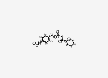 O=C(CC(=O)C1CCCCO1)OCc1ccc([N+](=O)[O-])cc1